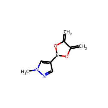 C=C1OB(c2cnn(C)c2)OC1=C